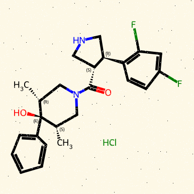 C[C@@H]1CN(C(=O)[C@@H]2CNC[C@H]2c2ccc(F)cc2F)C[C@H](C)[C@]1(O)c1ccccc1.Cl